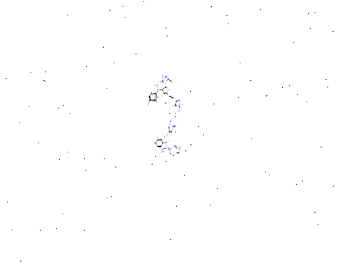 Cc1c(C#Cc2cnn(CCCCn3cnc(CNc4cccc5c4CN(C4CCC(O)NC4=O)C5=O)c3)c2)sc2c1C(c1ccc(Cl)cc1)=NCc1nnc(C)n1-2